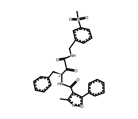 Cc1noc(-c2ccccc2)c1C(=O)N[C@@H](Cc1ccccc1)C(=O)C(=O)NCc1cccc(S(C)(=O)=O)c1